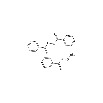 CCCCOOC(=O)c1ccccc1.O=C(OOC(=O)c1ccccc1)c1ccccc1